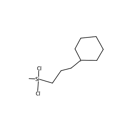 C[Si](Cl)(Cl)CCC[C]1CCCCC1